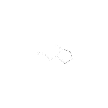 COCC1CCCN1C(C)C